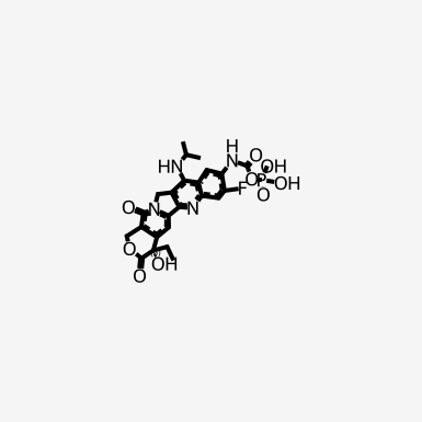 CC[C@@]1(O)C(=O)OCc2c1cc1n(c2=O)Cc2c-1nc1cc(F)c(NC(=O)OP(=O)(O)O)cc1c2NC(C)C